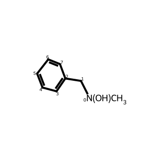 [CH2]N(O)Cc1ccccc1